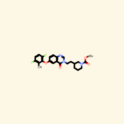 CC(C)(C)OC(=O)N1CCCC(CCn2cnc3ccc(Oc4c(F)ccc(F)c4C#N)cc3c2=O)C1